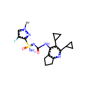 CC(C)n1cc(F)c(S(N)(=O)=NC(=O)Nc2c3c(nc(C4CC4)c2C2CC2)CCC3)n1